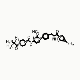 CC(C)(N)C(=O)N1CCN(C(=O)Nc2ccn(-c3ccc(C[C@H](N)C(=O)N4CC5C(N)C5C4)cc3)c(=O)n2)CC1.Cl